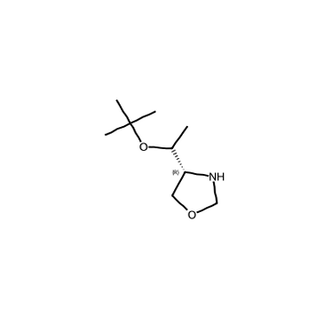 CC(OC(C)(C)C)[C@H]1COCN1